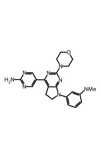 CNc1cccc(N2CCc3c(-c4cnc(N)nc4)nc(N4CCOCC4)nc32)c1